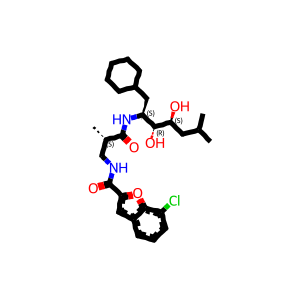 CC(C)C[C@H](O)[C@H](O)[C@H](CC1CCCCC1)NC(=O)[C@@H](C)CNC(=O)c1cc2cccc(Cl)c2o1